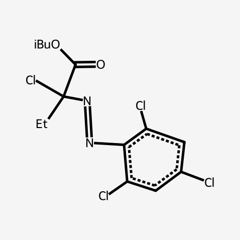 CCC(Cl)(N=Nc1c(Cl)cc(Cl)cc1Cl)C(=O)OCC(C)C